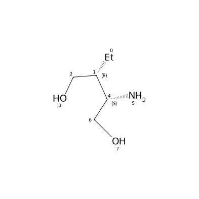 CC[C@@H](CO)[C@H](N)CO